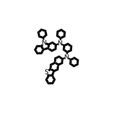 c1ccc(N(c2cccc(N(c3ccccc3)c3ccc4c5ccccc5n(-c5ccccc5)c4c3)c2)c2ccc3cc4sc5ccccc5c4cc3c2)cc1